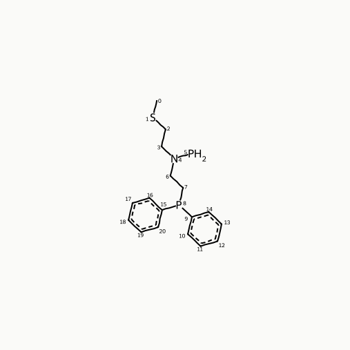 CSCCN(P)CCP(c1ccccc1)c1ccccc1